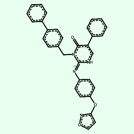 O=c1c(-c2ccccc2)c[nH]/c(=N\c2ccc(Oc3ccon3)cc2)n1Cc1ccc(-c2ccccc2)cc1